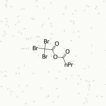 [CH2]CCC(=O)OC(=O)C(Br)(Br)Br